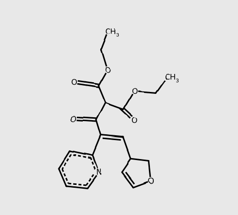 CCOC(=O)C(C(=O)OCC)C(=O)C(=CC1C=COC1)c1ccccn1